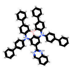 c1ccc(-c2ccc(N3c4ccc(-c5ccccc5)cc4B4c5cc(-c6ccccc6)ccc5N(c5ccc(-c6ccccc6)cc5)c5cc(-c6ncc7ccccc7n6)cc3c54)cc2)cc1